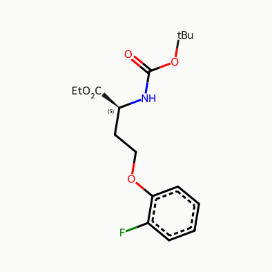 CCOC(=O)[C@H](CCOc1ccccc1F)NC(=O)OC(C)(C)C